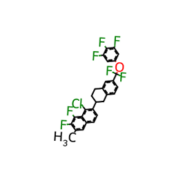 Cc1cc2ccc(C3CCc4cc(C(F)(F)Oc5cc(F)c(F)c(F)c5)ccc4C3)c(Cl)c2c(F)c1F